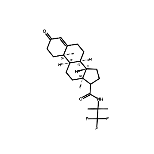 CC(C)(NC(=O)C1CC[C@H]2[C@@H]3CCC4=CC(=O)CC[C@]4(C)[C@@H]3CC[C@]12C)C(F)(F)F